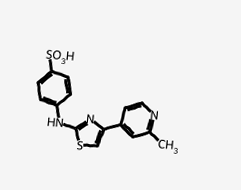 Cc1cc(-c2csc(Nc3ccc(S(=O)(=O)O)cc3)n2)ccn1